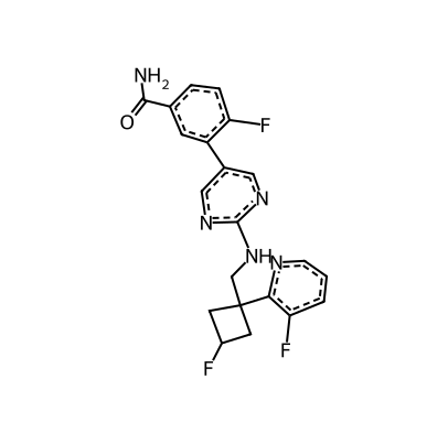 NC(=O)c1ccc(F)c(-c2cnc(NCC3(c4ncccc4F)CC(F)C3)nc2)c1